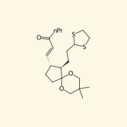 CCCC(=O)C=C[C@H]1CCC2(OCC(C)(C)CO2)[C@@H]1CCC1SCCS1